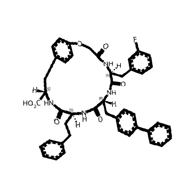 O=C1COc2ccc(cc2)C[C@@H](C(=O)O)NC(=O)[C@H](CCc2ccccc2)NC(=O)[C@@H](Cc2ccc(-c3ccccc3)cc2)NC(=O)[C@H](Cc2cccc(F)c2)N1